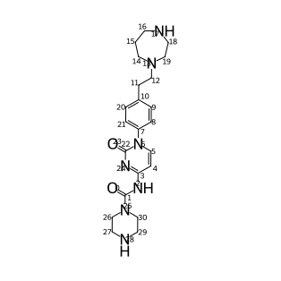 O=C(Nc1ccn(-c2ccc(CCN3CCCNCC3)cc2)c(=O)n1)N1CCNCC1